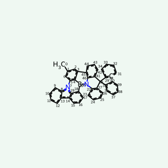 Cc1cc2c3c(c1)-n1c4ccccc4c4cccc(c41)B3N1c3ccccc3C(c3ccccc3)(c3ccccc3)c3cccc-2c31